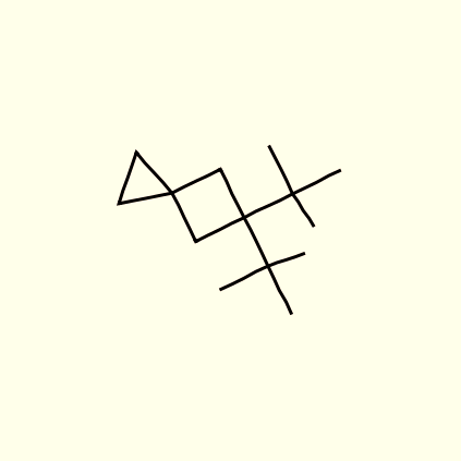 CC(C)(C)C1(C(C)(C)C)CC2(CC2)C1